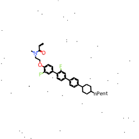 C=CC(=O)N(C)CCOc1ccc(-c2ccc(-c3ccc(C4CCC(CCCCC)CC4)cc3)cc2F)cc1F